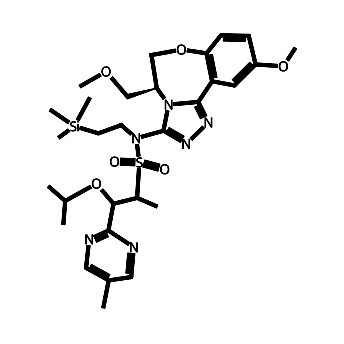 COC[C@H]1COc2ccc(OC)cc2-c2nnc(N(CC[Si](C)(C)C)S(=O)(=O)C(C)C(OC(C)C)c3ncc(C)cn3)n21